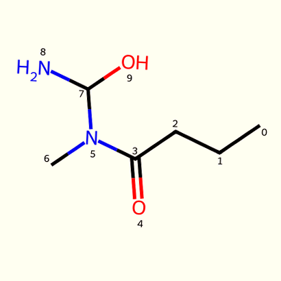 CCCC(=O)N(C)C(N)O